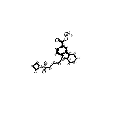 COC(=O)c1ccc2c(c1)c1c(n2CCCS(=O)(=O)N2CCC2)CCCC1